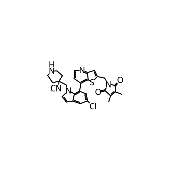 CC1=C(C)C(=O)N(Cc2cc3nccc(-c4cc(Cl)cc5ccn(CC6(C#N)CCNCC6)c45)c3s2)C1=O